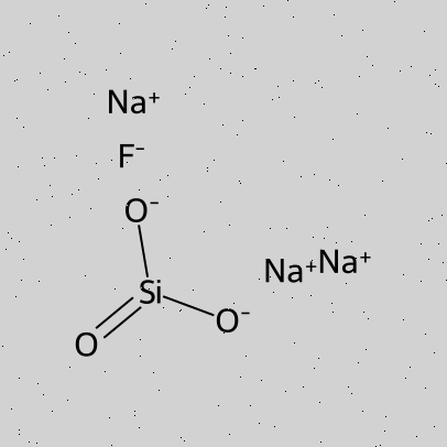 O=[Si]([O-])[O-].[F-].[Na+].[Na+].[Na+]